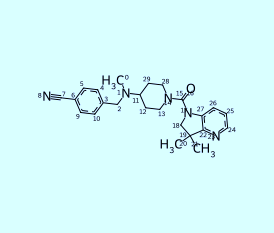 CN(Cc1ccc(C#N)cc1)C1CCN(C(=O)N2CC(C)(C)c3ncccc32)CC1